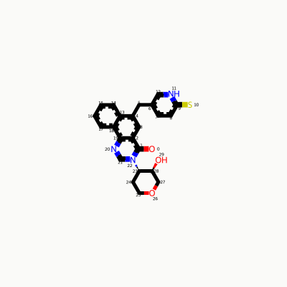 O=c1c2cc(Cc3ccc(=S)[nH]c3)c3ccccc3c2ncn1[C@H]1CCOC[C@@H]1O